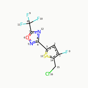 Fc1cc(-c2noc(C(F)(F)F)n2)sc1CCl